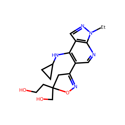 CCn1ncc2c(NC3CC3)c(C3=NOC(CO)(CCO)C3)cnc21